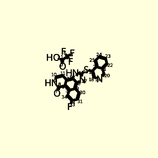 O=C(O)C(F)(F)F.O=c1[nH]ccc2c3[nH]c(Sc4cncc5ccccc45)nc3c3ccc(F)cc3c12